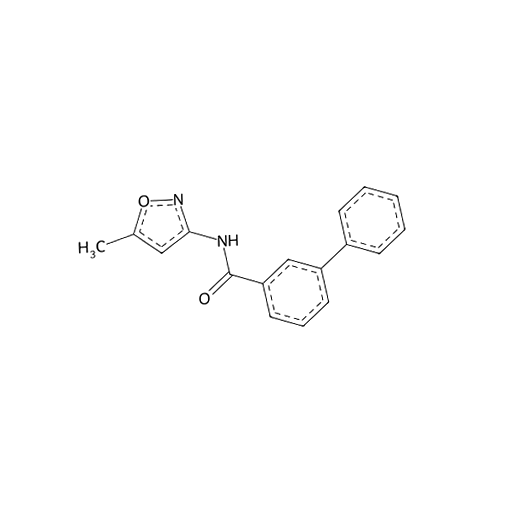 Cc1cc(NC(=O)c2cccc(-c3ccccc3)c2)no1